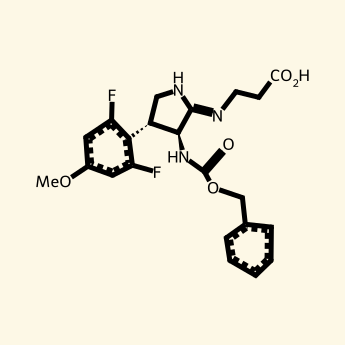 COc1cc(F)c([C@@H]2CN/C(=N\CCC(=O)O)[C@H]2NC(=O)OCc2ccccc2)c(F)c1